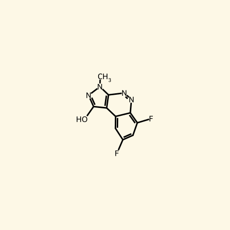 Cn1nc(O)c2c3cc(F)cc(F)c3nnc21